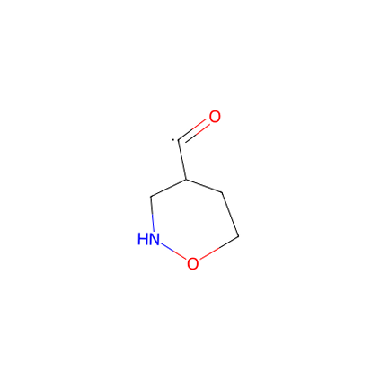 O=[C]C1CCONC1